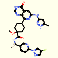 COC1(C(=O)N[C@@H](C)c2ccc(-n3cc(F)cn3)nc2)CCC(c2nc(Nc3cc(C)[nH]n3)cc3c(=O)[nH]cnc23)CC1